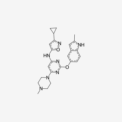 Cc1cc2cc(Oc3nc(Nc4cc(C5CC5)no4)cc(N4CCN(C)CC4)n3)ccc2[nH]1